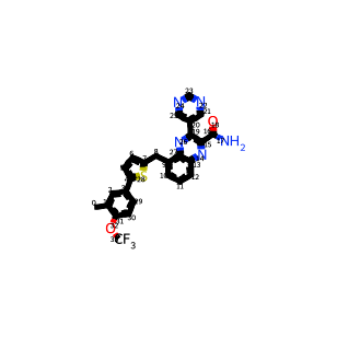 Cc1cc(-c2ccc(Cc3cccc4nc(C(N)=O)c(-c5cncnc5)nc34)s2)ccc1OC(F)(F)F